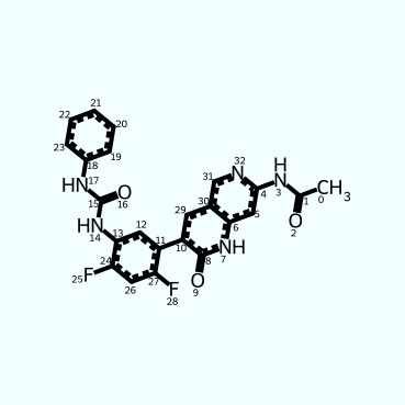 CC(=O)Nc1cc2[nH]c(=O)c(-c3cc(NC(=O)Nc4ccccc4)c(F)cc3F)cc2cn1